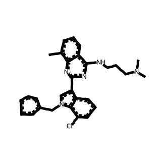 Cc1cccc2c(NCCCN(C)C)nc(-c3cn(Cc4ccccc4)c4c(Cl)cccc34)nc12